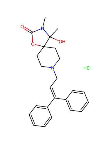 CN1C(=O)OC2(CCN(CC=C(c3ccccc3)c3ccccc3)CC2)C1(C)O.Cl